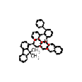 CC1(C)c2ccccc2-c2cccc(-c3ccc(N(c4ccc5ccccc5c4)c4cccc(-c5ccccc5)c4-c4ccccc4-c4ccccc4)cc3)c21